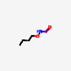 CCCCONP=O